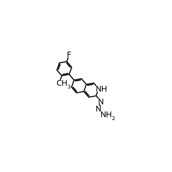 Cc1ccc(F)cc1-c1ccc2c(c1)=CNC(N=NN)C=2